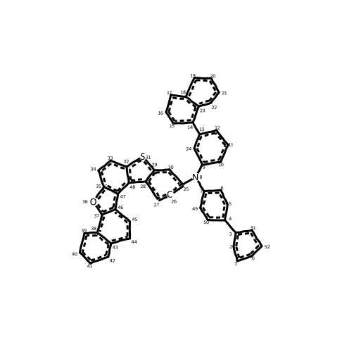 c1ccc(-c2ccc(N(c3cccc(-c4cccc5ccccc45)c3)c3ccc4c(c3)sc3ccc5oc6c7ccccc7ccc6c5c34)cc2)cc1